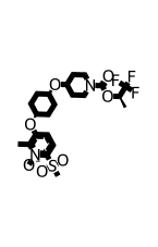 Cc1c(O[C@H]2CC[C@H](OC3CCN(C(=O)O[C@H](C)C(F)(F)F)CC3)CC2)ccc(S(C)(=O)=O)[n+]1[O-]